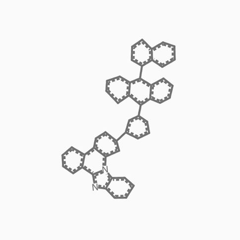 c1cc(-c2ccc3c4ccccc4c4nc5ccccc5n4c3c2)cc(-c2c3ccccc3c(-c3cccc4ccccc34)c3ccccc23)c1